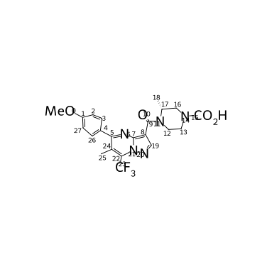 COc1ccc(-c2nc3c(C(=O)N4CCN(C(=O)O)C[C@H]4C)cnn3c(C(F)(F)F)c2C)cc1